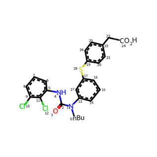 CCCCN(C(=O)Nc1cccc(Cl)c1Cl)c1cccc(Sc2ccc(CC(=O)O)cc2)c1